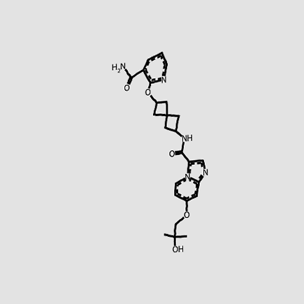 CC(C)(O)COc1ccn2c(C(=O)NC3CC4(C3)CC(Oc3ncccc3C(N)=O)C4)cnc2c1